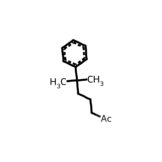 CC(=O)CCCC(C)(C)c1ccccc1